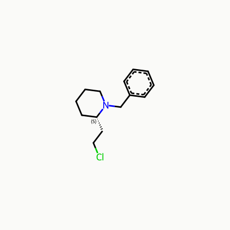 ClCC[C@@H]1CCCCN1Cc1ccccc1